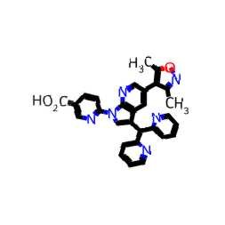 Cc1noc(C)c1-c1cnc2c(c1)c(C(c1ccccn1)c1ccccn1)cn2-c1ccc(C(=O)O)cn1